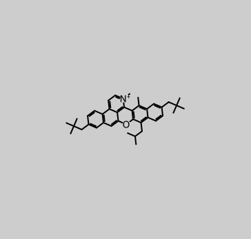 Cc1c2c(c(CC(C)C)c3ccc(CC(C)(C)C)cc13)Oc1cc3cc(CC(C)(C)C)ccc3c3cc[n+](C)c-2c13